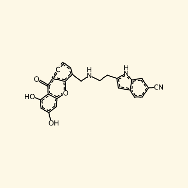 N#Cc1ccc2cc(CCNCc3cccc4c(=O)c5c(O)cc(O)cc5oc34)[nH]c2c1